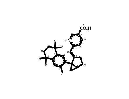 Cc1cc2c(cc1C13CC1CCC3=Cc1ccc(C(=O)O)cn1)C(C)(C)CCC2(C)C